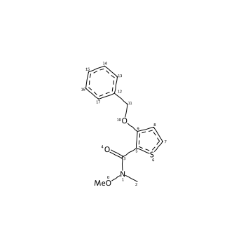 CON(C)C(=O)c1sccc1OCc1ccccc1